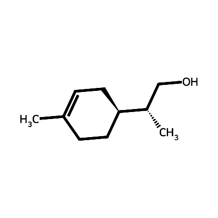 CC1=CC[C@@H]([C@@H](C)CO)CC1